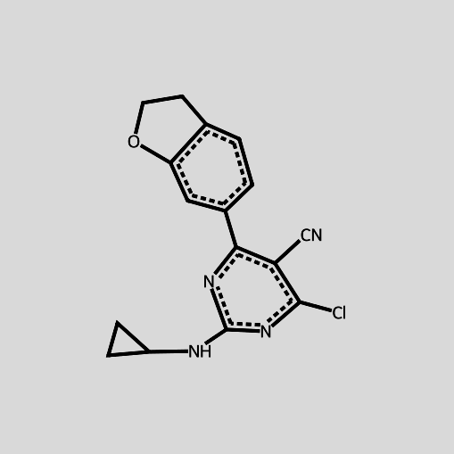 N#Cc1c(Cl)nc(NC2CC2)nc1-c1ccc2c(c1)OCC2